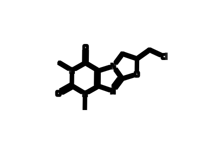 Cn1c(=O)c2c(nc3n2CC(CCl)O3)n(C)c1=O